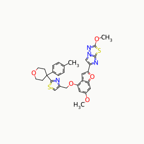 COc1cc(OCc2csc(C3(c4ccc(C)cc4)CCOCC3)n2)c2cc(-c3cn4nc(OC)sc4n3)oc2c1